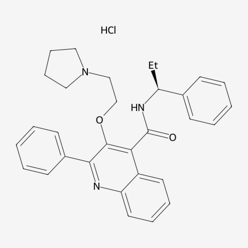 CC[C@H](NC(=O)c1c(OCCN2CCCC2)c(-c2ccccc2)nc2ccccc12)c1ccccc1.Cl